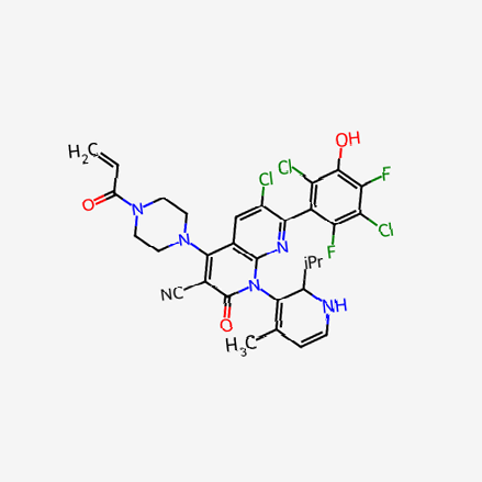 C=CC(=O)N1CCN(c2c(C#N)c(=O)n(C3=C(C)C=CNC3C(C)C)c3nc(-c4c(F)c(Cl)c(F)c(O)c4Cl)c(Cl)cc23)CC1